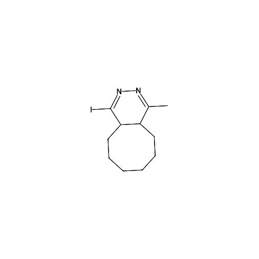 CC1=NN=C(I)C2CCCCCCC12